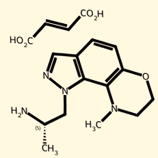 C[C@H](N)Cn1ncc2ccc3c(c21)N(C)CCO3.O=C(O)C=CC(=O)O